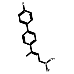 CCCN(CC=C(C)c1ccc(-c2ccc(F)cc2)cc1)CCC